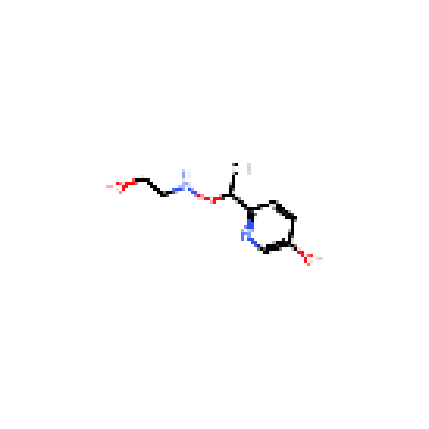 CC(ONCCO)c1ccc(O)cn1